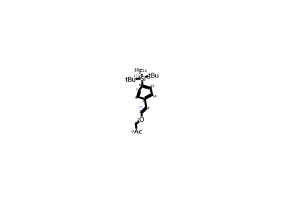 CC(=O)CO/C=C/c1ccc([Si]([18F])(C(C)(C)C)C(C)(C)C)cc1